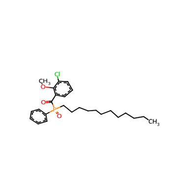 CCCCCCCCCCCCP(=O)(C(=O)c1cccc(Cl)c1OC)c1ccccc1